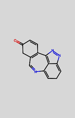 O=C1C=Cc2c(cnc3c4c(nnc2=4)=CCC=3)C1